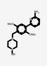 CCCN1CCN(Cc2cc(OC)c(-c3cccc(N)n3)cc2OC)CC1